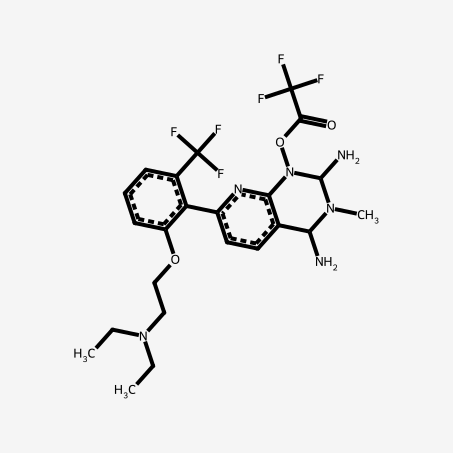 CCN(CC)CCOc1cccc(C(F)(F)F)c1-c1ccc2c(n1)N(OC(=O)C(F)(F)F)C(N)N(C)C2N